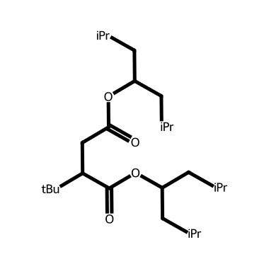 CC(C)CC(CC(C)C)OC(=O)CC(C(=O)OC(CC(C)C)CC(C)C)C(C)(C)C